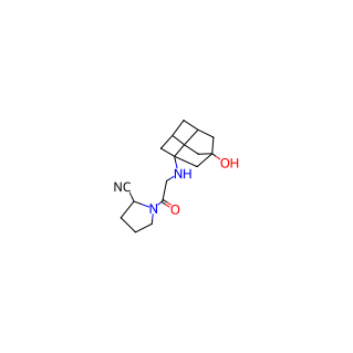 N#CC1CCCN1C(=O)CNC12CC3CC4CC(O)(C1)CC432